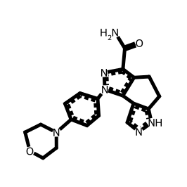 NC(=O)c1nn(-c2ccc(N3CCOCC3)cc2)c2c1CCc1[nH]ncc1-2